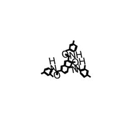 Cc1ccc(/N=N/c2c(O)c(C(=O)Nc3ccc(C)cc3C)cc3cc(C(=O)Nc4ccc(C)cc4C)ccc23)c(C)c1